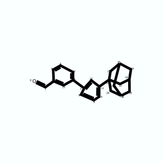 O=Cc1cccc(-c2cccc(C34CC5CC(CC(C5)C3)C4)c2)c1